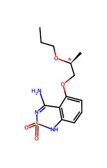 CCCO[C@@H](C)COc1cccc2c1C(N)=NS(=O)(=O)N2